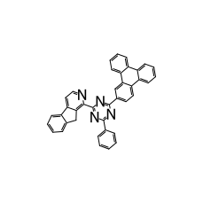 c1ccc(-c2nc(-c3ccc4c5ccccc5c5ccccc5c4c3)nc(-c3nccc4c3Cc3ccccc3-4)n2)cc1